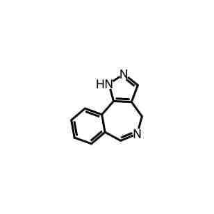 C1=NCc2cn[nH]c2-c2ccccc21